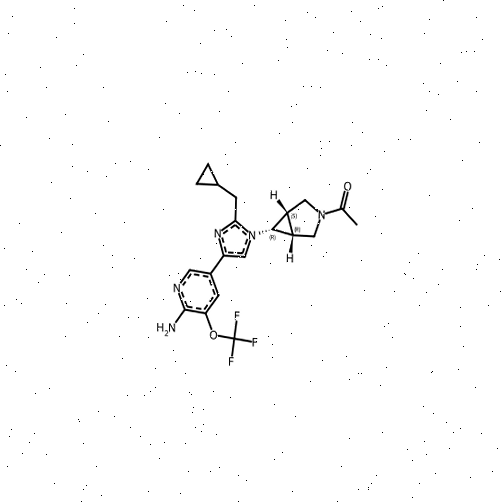 CC(=O)N1C[C@@H]2[C@H](C1)[C@@H]2n1cc(-c2cnc(N)c(OC(F)(F)F)c2)nc1CC1CC1